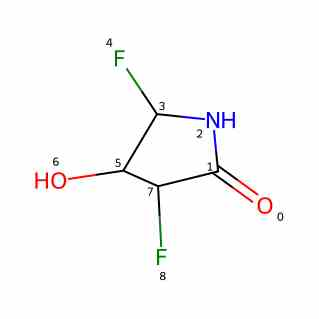 O=C1NC(F)C(O)C1F